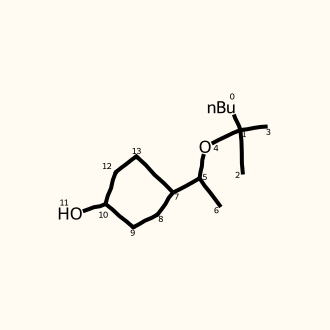 CCCCC(C)(C)OC(C)C1CCC(O)CC1